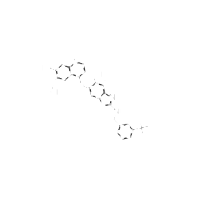 COc1cc2c(Oc3cc4sc(NCc5cccc(C(C)(F)P)c5)nc4cc3P)ccnc2cc1O